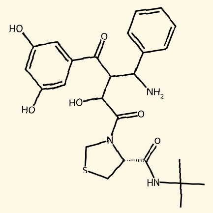 CC(C)(C)NC(=O)[C@@H]1CSCN1C(=O)C(O)C(C(=O)c1cc(O)cc(O)c1)C(N)c1ccccc1